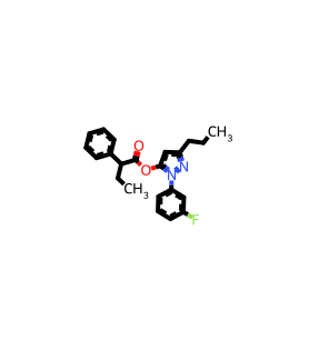 CCCc1cc(OC(=O)C(CC)c2ccccc2)n(-c2cccc(F)c2)n1